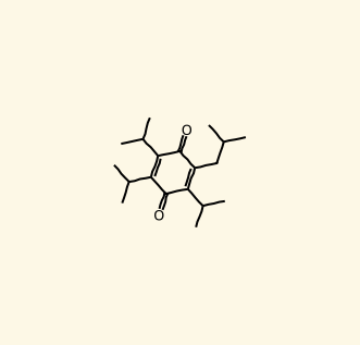 CC(C)CC1=C(C(C)C)C(=O)C(C(C)C)=C(C(C)C)C1=O